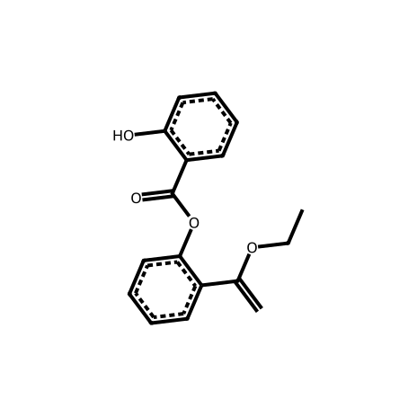 C=C(OCC)c1ccccc1OC(=O)c1ccccc1O